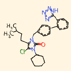 CC(C)CCc1c(Cl)n(C2CCCCC2)c(=O)n1Cc1ccc(-c2ccccc2-c2nnn[nH]2)cc1